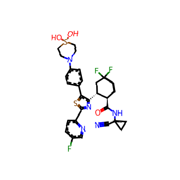 N#CC1(NC(=O)[C@@H]2CCC(F)(F)C[C@H]2c2nc(-c3ccc(F)cn3)sc2-c2ccc(N3CCS(O)(O)CC3)cc2)CC1